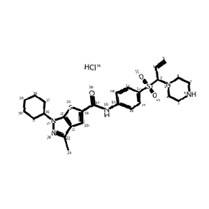 C=CC(N1CCNCC1)S(=O)(=O)c1ccc(NC(=O)c2cc3c(C)nn(C4CCCCC4)c3s2)cc1.Cl